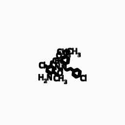 CCc1c(N)cc(Cl)c(CC)c1NC(=O)N(CCc1ccc(Cl)cc1)c1ccc(OC)c(OC)c1